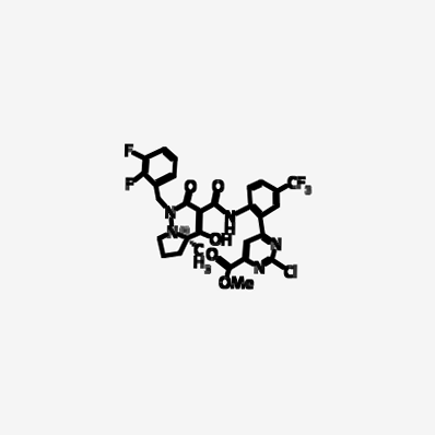 COC(=O)c1cc(-c2cc(C(F)(F)F)ccc2NC(=O)C2=C(O)[C@@]3(C)CCCN3N(Cc3cccc(F)c3F)C2=O)nc(Cl)n1